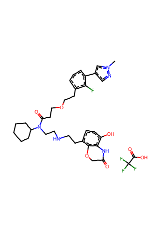 Cn1cc(-c2cccc(CCOCCC(=O)N(CCNCCc3ccc(O)c4c3OCC(=O)N4)C3CCCCC3)c2F)cn1.O=C(O)C(F)(F)F